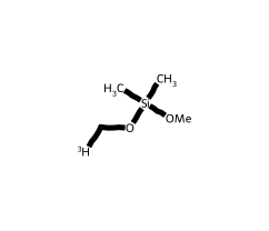 [3H]CO[Si](C)(C)OC